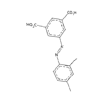 Cc1ccc(N=Nc2cc(C(=O)O)cc(C(=O)O)c2)c(C)c1